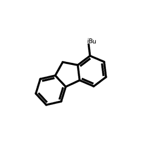 [CH2]C(CC)c1cccc2c1Cc1ccccc1-2